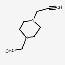 C#CCN1CCN(CC=O)CC1